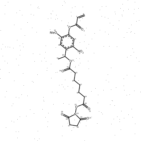 C=CC(=O)Oc1cc([N+](=O)[O-])c(C(C)OC(=O)CCCCCC(=O)ON2C(=O)CCC2=O)cc1OC